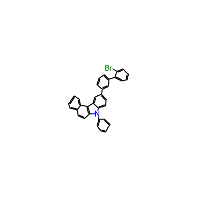 Brc1ccccc1-c1cccc(-c2ccc3c(c2)c2c4ccccc4ccc2n3-c2ccccc2)c1